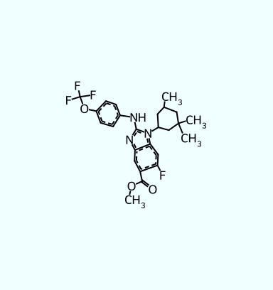 COC(=O)c1cc2nc(Nc3ccc(OC(F)(F)F)cc3)n(C3CC(C)CC(C)(C)C3)c2cc1F